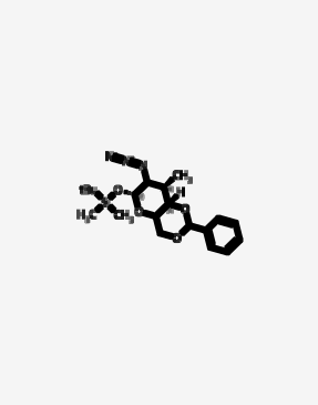 C[C@@H]1C(N=[N+]=[N-])[C@@H](O[Si](C)(C)C(C)(C)C)OC2COC(c3ccccc3)O[C@H]21